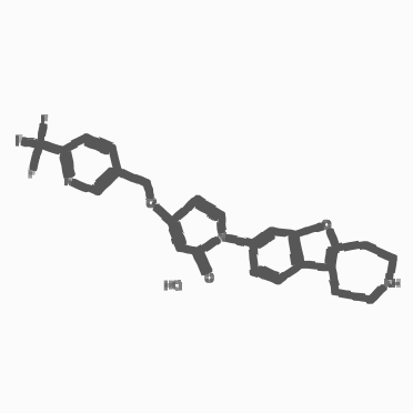 Cl.O=c1cc(OCc2ccc(C(F)(F)F)nc2)ccn1-c1ccc2c3c(oc2c1)CCNCC3